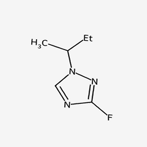 CCC(C)n1cnc(F)n1